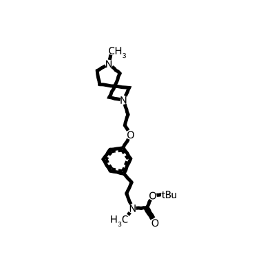 CN1CCC2(C1)CN(CCOc1cccc(CCN(C)C(=O)OC(C)(C)C)c1)C2